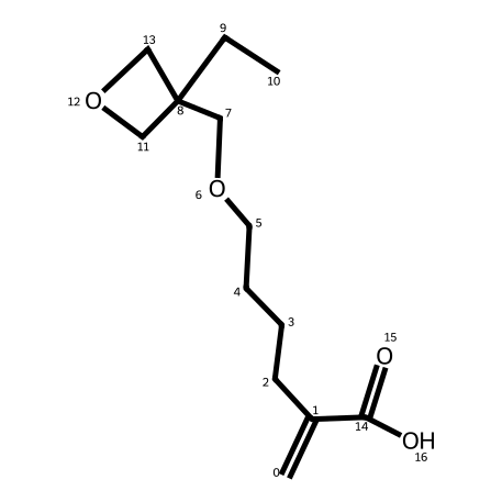 C=C(CCCCOCC1(CC)COC1)C(=O)O